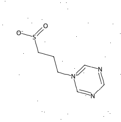 O=S([O-])CCC[n+]1cncnc1